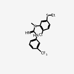 CCSc1ccc(Cl)c(N(C)C(=N)Nc2cccc(C(F)(F)F)c2)c1